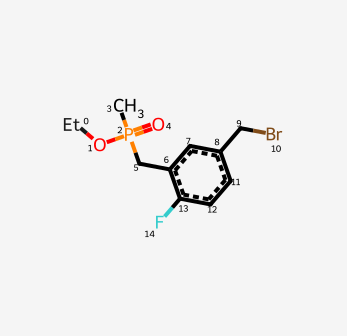 CCOP(C)(=O)Cc1cc(CBr)ccc1F